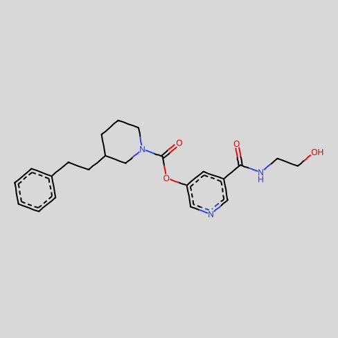 O=C(NCCO)c1cncc(OC(=O)N2CCCC(CCc3ccccc3)C2)c1